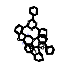 C=C/C=c1/oc2cccc(-c3nc(-c4ccccc4)nc(-c4ccccc4)n3)c2/c1=C/N(c1cccc(-c2ccccc2)c1)c1cccc2c1C(C)(C)c1ccccc1-2